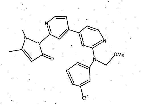 COCN(c1cccc(Cl)c1)c1nccc(-c2ccnc(-n3c(=O)cc(C)n3C)c2)n1